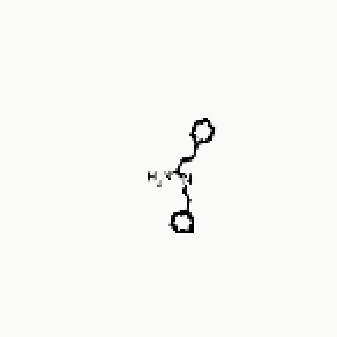 NC(C=Cc1ccccc1)=NCCc1ccccc1